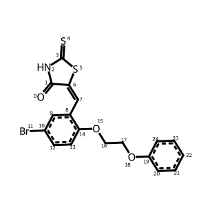 O=C1NC(=S)SC1=Cc1cc(Br)ccc1OCCOc1ccccc1